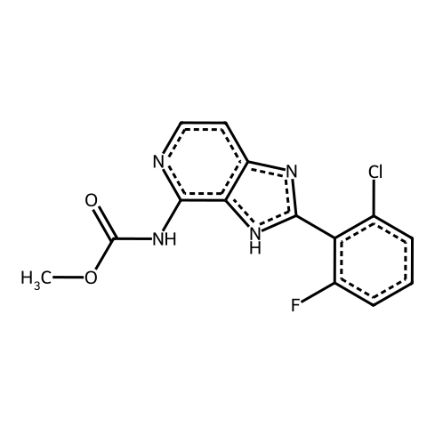 COC(=O)Nc1nccc2nc(-c3c(F)cccc3Cl)[nH]c12